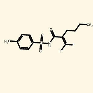 CCCCC(C(=O)NS(=O)(=O)c1ccc(C)cc1)=C(F)F